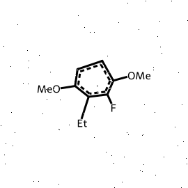 CCc1c(OC)ccc(OC)c1F